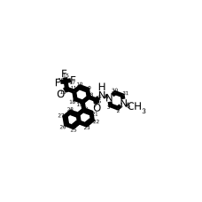 CN1CCN(NC(=O)C2C=CC(C(=O)C(F)(F)F)CC2c2cccc3ccccc23)CC1